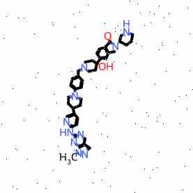 Cn1ncc2cnc(Nc3ccc(C4CCN(c5ccc(CN6CCC(O)(c7ccc8c(c7)CN(C7CCCNC7)C8=O)CC6)cc5)CC4)cn3)nc21